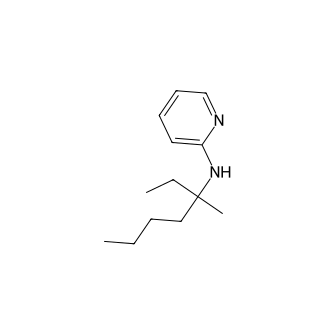 CCCCC(C)(CC)Nc1ccccn1